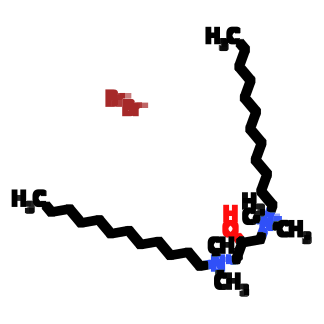 CCCCCCCCCCCC[N+](C)(C)CC(O)C[N+](C)(C)CCCCCCCCCCCC.[Br-].[Br-]